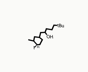 CC1CC(CC(O)CCCC(C)(C)C)CC[C@H]1I